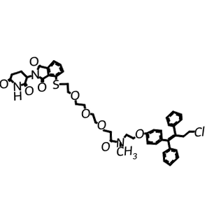 CN(CCOc1ccc(C(=C(CCCl)c2ccccc2)c2ccccc2)cc1)C(=O)CCOCCOCCOCCSc1cccc2c1C(=O)N(C1CCC(=O)NC1=O)C2=O